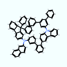 c1ccc(-c2cc(-c3ccccc3)cc(-n3c4ccccc4c4cc(-c5ccccc5-c5cccc(N(c6ccc7c(c6)C(c6ccccc6)(c6ccccc6)c6ccccc6-7)c6ccc7ccccc7c6)c5)ccc43)c2)cc1